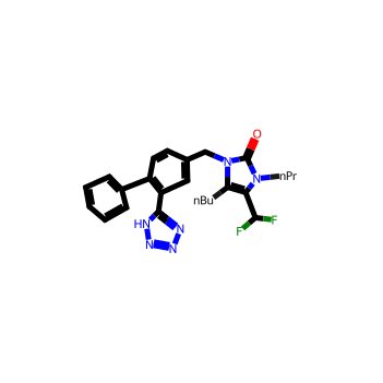 CCCCc1c(C(F)F)n(CCC)c(=O)n1Cc1ccc(-c2ccccc2)c(-c2nnn[nH]2)c1